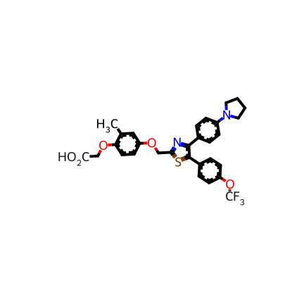 Cc1cc(OCc2nc(-c3ccc(N4CCCC4)cc3)c(-c3ccc(OC(F)(F)F)cc3)s2)ccc1OCC(=O)O